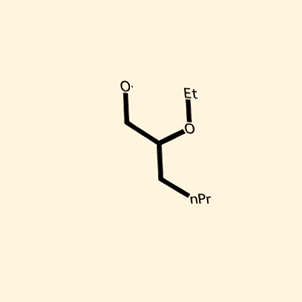 CCCCC(C[O])OCC